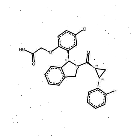 O=C(O)COc1ccc(Cl)cc1[C@@H]1c2ccccc2CN1C(=O)[C@H]1C[C@@H]1c1ccccc1F